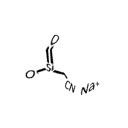 N#C[Si](=O)[O-].[Na+]